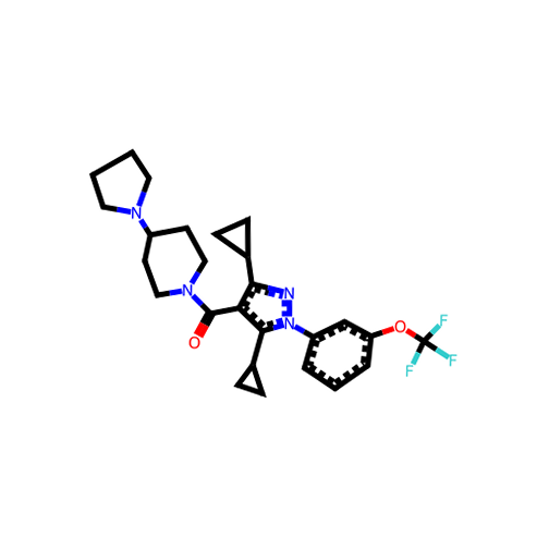 O=C(c1c(C2CC2)nn(-c2cccc(OC(F)(F)F)c2)c1C1CC1)N1CCC(N2CCCC2)CC1